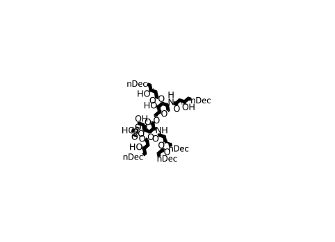 CCCCCCCCCCCC(=O)O[C@H](CCCCCCCCCCC)CC(=O)NC1C(OC(=O)C[C@H](O)CCCCCCCCCCC)[C@H](OP(=O)(O)O)C(CO)O[C@H]1OCC1OCC(NC(=O)C[C@H](O)CCCCCCCCCCC)C(OC(=O)C[C@H](O)CCCCCCCCCCC)[C@@H]1O